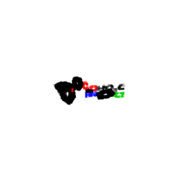 O=C(COc1cccc(C23CC4CC(CC(C4)C2)C3)c1)Nc1ccc(Cl)cc1C(=O)O